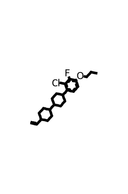 C=CC1CCC(C2CCC(c3ccc(OCCC)c(F)c3Cl)CC2)CC1